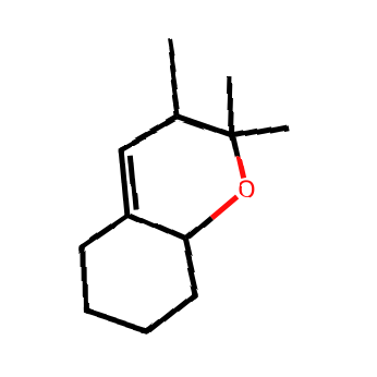 CC1C=C2CCCCC2OC1(C)C